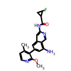 COc1nccc(C)c1-c1cc(N)c2cnc(NC(=O)C3CC3F)cc2c1